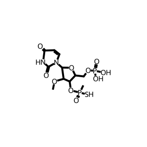 COC1C(OP(C)(=O)S)C(COP(=O)(O)O)OC1n1ccc(=O)[nH]c1=O